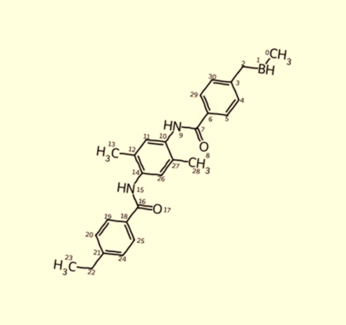 CBCc1ccc(C(=O)Nc2cc(C)c(NC(=O)c3ccc(CC)cc3)cc2C)cc1